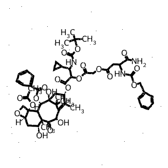 CC(=O)O[C@@]12CO[C@@H]1C[C@H](O)[C@@]1(C)C(=O)[C@H](O)C3=C(C)[C@@H](OC(=O)C(OC(=O)COC(=O)CC(NC(=O)OCc4ccccc4)C(N)=O)C(NC(=O)OC(C)(C)C)C4CC4)C[C@@](O)([C@@H](OC(=O)c4ccccc4)[C@H]21)C3(C)C